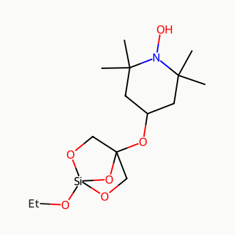 CCO[Si]12OCC(OC3CC(C)(C)N(O)C(C)(C)C3)(CO1)O2